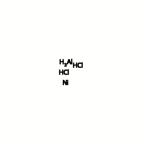 Cl.Cl.[AlH3].[Ni]